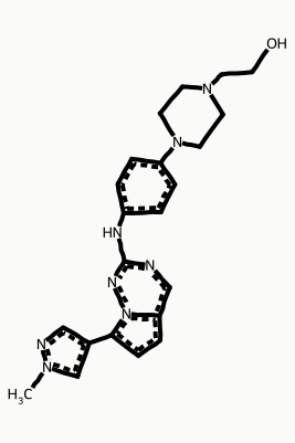 Cn1cc(-c2ccc3cnc(Nc4ccc(N5CCN(CCO)CC5)cc4)nn23)cn1